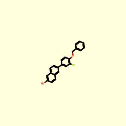 Fc1cc(-c2ccc3cc(Br)ccc3c2)ccc1OCc1ccccc1